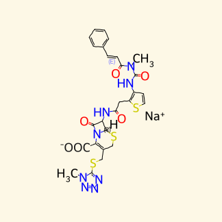 CN(C(=O)/C=C/c1ccccc1)C(=O)Nc1ccsc1CC(=O)NC1C(=O)N2C(C(=O)[O-])=C(CSc3nnnn3C)CS[C@H]12.[Na+]